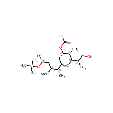 CCC(=O)O[C@@H](CC[C@H](C)[C@H](C[C@@H](CC)O[Si](C)(C)C(C)(C)C)OC)[C@H](C)[C@H](OC)[C@H](C)CO